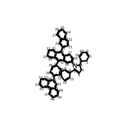 C1=CCC(C2CC=C(C3=CCCC=C3)N2c2ccc3c(-c4ccc5ccccc5c4)c4ccccc4c(-c4ccc(-c5cc6ccccc6c6ccccc56)cc4)c3c2)C=C1